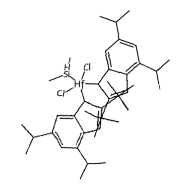 CC(C)c1cc(C(C)C)c2c(c1)[CH]([Hf]([Cl])([Cl])([CH]1C(C(C)(C)C)=Cc3c(C(C)C)cc(C(C)C)cc31)[SiH](C)C)C(C(C)(C)C)=C2